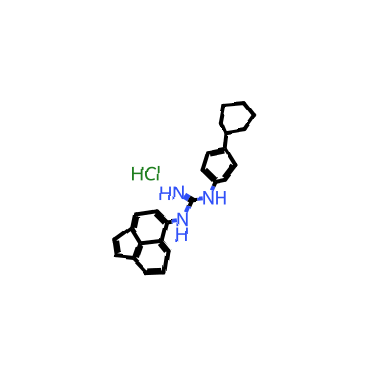 Cl.N=C(Nc1ccc(C2CCCCC2)cc1)Nc1ccc2c3c(cccc13)C=C2